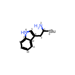 CC(C)(C)C(N)Cc1c[nH]c2ccccc12